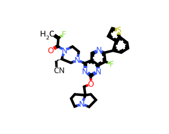 C=C(F)C(=O)N1CCN(c2nc(OCC34CCCN3CCC4)nc3c(F)c(-c4cccc5sccc45)ncc23)C[C@@H]1CC#N